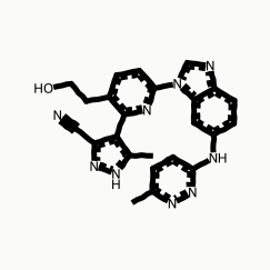 Cc1ccc(Nc2ccc3ncn(-c4ccc(CCO)c(-c5c(C#N)n[nH]c5C)n4)c3c2)nn1